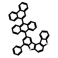 c1ccc(-c2cc(-c3c4ccccc4c(-c4cc5ccccc5c5ccccc45)c4ccccc34)cc3c2oc2ccc4oc5ccccc5c4c23)cc1